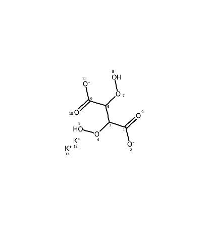 O=C([O-])C(OO)C(OO)C(=O)[O-].[K+].[K+]